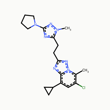 Cc1c(Cl)cc(C2CC2)c2nc(CCc3nc(N4CCCC4)nn3C)nn12